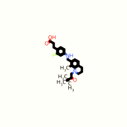 Cc1c(CNc2ccc(CCC(=O)O)c(F)c2)ccc2c1N(CC(=O)C(C)(C)C)CCC2